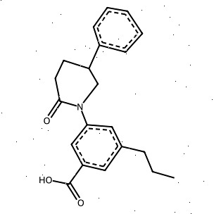 CCCc1cc(C(=O)O)cc(N2CC(c3ccccc3)CCC2=O)c1